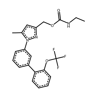 CCNC(=O)OCc1cc(C)n(-c2cccc(-c3ccccc3OC(F)(F)F)c2)n1